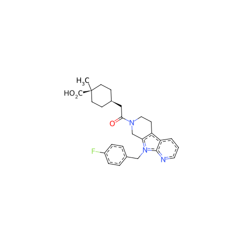 C[C@]1(C(=O)O)CC[C@@H](CC(=O)N2CCc3c(n(Cc4ccc(F)cc4)c4ncccc34)C2)CC1